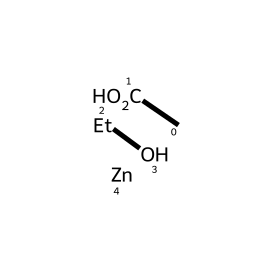 CC(=O)O.CCO.[Zn]